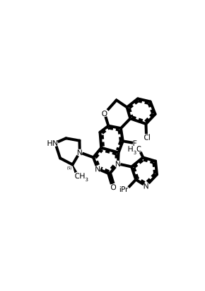 Cc1ccnc(C(C)C)c1-n1c(=O)nc(N2CCNC[C@@H]2C)c2cc3c(c(F)c21)-c1c(Cl)cccc1CO3